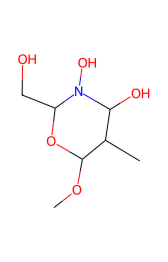 COC1OC(CO)N(O)C(O)C1C